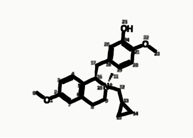 COc1ccc2c(c1)CC[N@+](C)(CC1CC1)[C@@H]2Cc1ccc(OC)c(O)c1